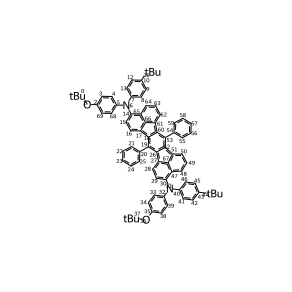 CC(C)(C)Oc1ccc(N(c2ccc(C(C)(C)C)cc2)c2ccc3c4c(-c5ccccc5)c5c6ccc(N(c7ccc(OC(C)(C)C)cc7)c7ccc(C(C)(C)C)cc7)c7cccc(c5c(-c5ccccc5)c4c4cccc2c43)c76)cc1